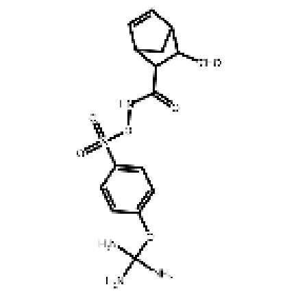 NC(N)(N)Oc1ccc(S(=O)(=O)ONC(=O)C2C3C=CC(C3)C2C=O)cc1